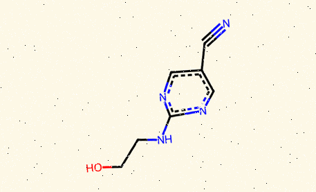 N#Cc1cnc(NCCO)nc1